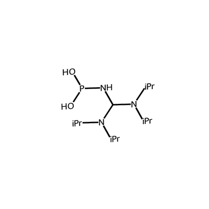 CC(C)N(C(C)C)C(NP(O)O)N(C(C)C)C(C)C